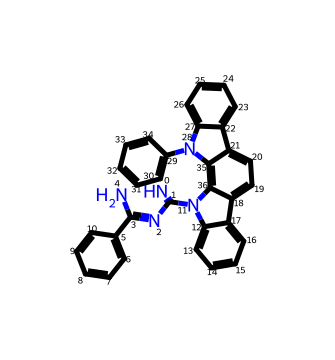 N=C(/N=C(\N)c1ccccc1)n1c2ccccc2c2ccc3c4ccccc4n(-c4ccccc4)c3c21